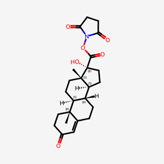 C[C@]12CCC(=O)C=C1CC[C@@H]1[C@@H]2CC[C@@]2(C)[C@H]1CC[C@]2(O)C(=O)ON1C(=O)CCC1=O